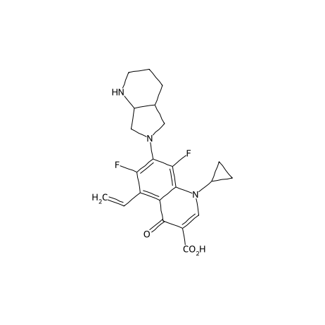 C=Cc1c(F)c(N2CC3CCCNC3C2)c(F)c2c1c(=O)c(C(=O)O)cn2C1CC1